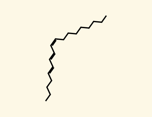 CCCC/C=C/C=C/C=C\CCCCCCCC